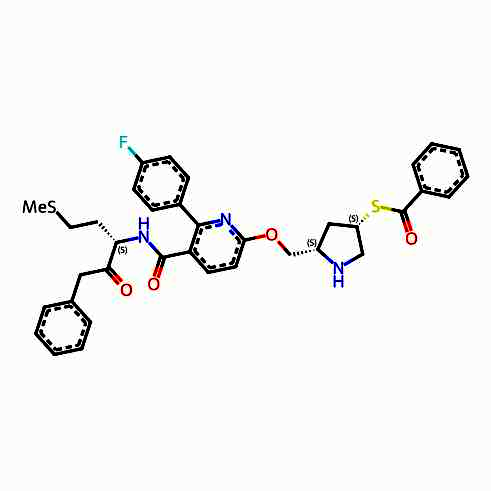 CSCC[C@H](NC(=O)c1ccc(OC[C@@H]2C[C@H](SC(=O)c3ccccc3)CN2)nc1-c1ccc(F)cc1)C(=O)Cc1ccccc1